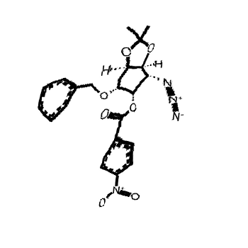 CC1(C)O[C@@H]2[C@@H](OCc3ccccc3)[C@@H](OC(=O)c3ccc([N+](=O)[O-])cc3)[C@@H](N=[N+]=[N-])[C@@H]2O1